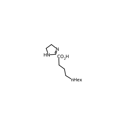 C1=NCCN1.CCCCCCCCCC(=O)O